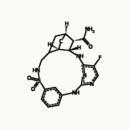 NC(=O)[C@H]1[C@@H]2CC3CNS(=O)(=O)c4cccc(c4)Nc4ncc(F)c(n4)N[C@@H]1[C@@H]3C2